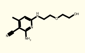 Cc1cc(NCCOCCO)nc(N)c1C#N